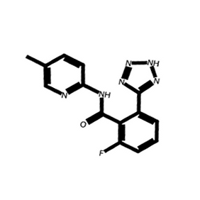 Cc1ccc(NC(=O)c2c(F)cccc2-c2nn[nH]n2)nc1